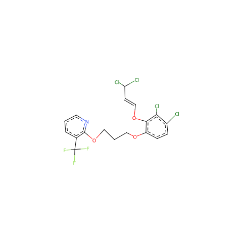 FC(F)(F)c1cccnc1OCCCOc1ccc(Cl)c(Cl)c1OC=CC(Cl)Cl